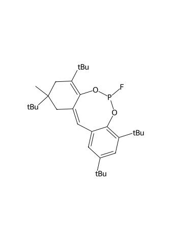 CC(C)(C)C1=C2OP(F)Oc3c(cc(C(C)(C)C)cc3C(C)(C)C)/C=C\2CC(C)(C(C)(C)C)C1